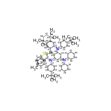 Cc1ccc2sc3c(c2c1)N(c1ccc(C(C)(C)C)cc1-c1ccccc1)c1cc(N(c2ccccc2)c2ccccc2)cc2c1B3c1cc3c(cc1N2c1ccc(C(C)(C)C)cc1)C(C)(C)CCC3(C)C